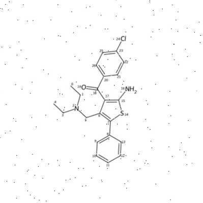 CCN(CC)Cc1c(-c2ccccc2)sc(N)c1C(=O)c1ccc(Cl)cc1